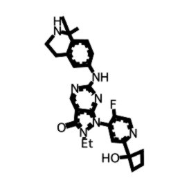 CCn1c(=O)c2cnc(Nc3ccc4c(c3)CCNC4(C)C)nc2n1-c1cc(C2(O)CCC2)ncc1F